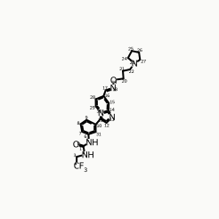 O=C(NCC(F)(F)F)Nc1cccc(-c2cnc3cc(C=NOCCCN4CCCC4)ccn23)c1